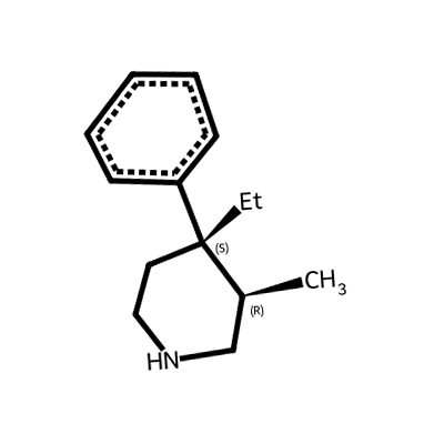 CC[C@]1(c2ccccc2)CCNC[C@@H]1C